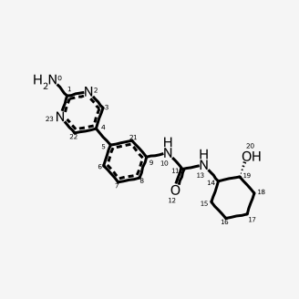 Nc1ncc(-c2cccc(NC(=O)NC3CCCC[C@H]3O)c2)cn1